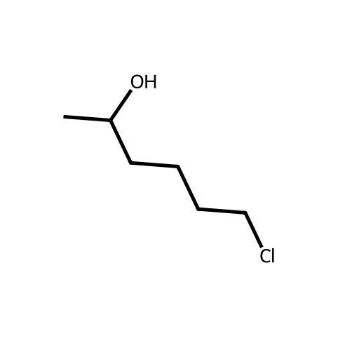 CC(O)CCCCCl